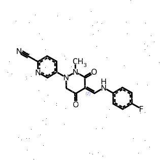 CN1C(=O)/C(=C\Nc2ccc(F)cc2)C(=O)CN1c1ccc(C#N)nc1